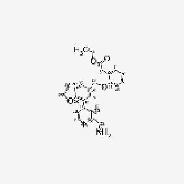 CCOC(=O)Cc1ccccc1OCc1cc(-c2ccnc(CN)c2F)c2occc2c1